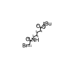 CC(C)(C)OC(=O)CCCCNC(=O)CBr